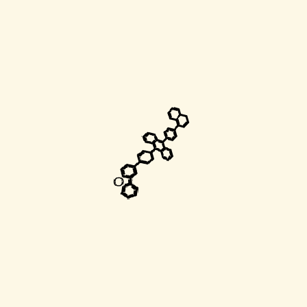 C1=CC2=C(c3ccc(-c4c5ccccc5c(C5C=CC(c6ccc7oc8ccccc8c7c6)=CC5)c5ccccc45)cc3)C=CCC2C=C1